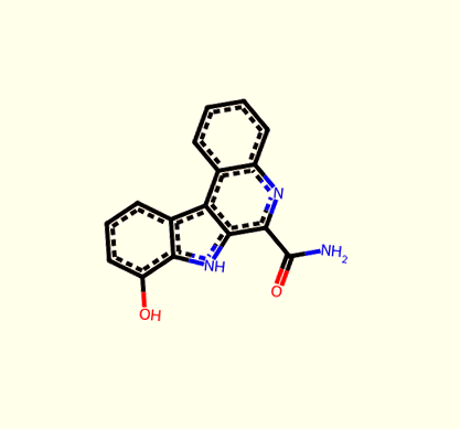 NC(=O)c1nc2ccccc2c2c1[nH]c1c(O)cccc12